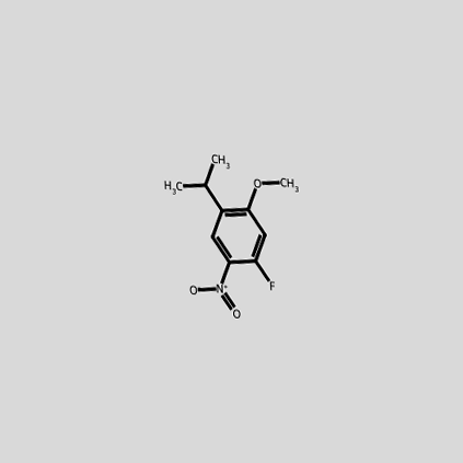 COc1cc(F)c([N+](=O)[O-])cc1C(C)C